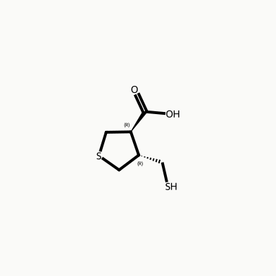 O=C(O)[C@@H]1CSC[C@H]1CS